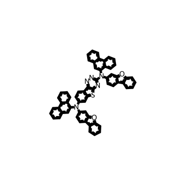 c1ccc2c(c1)cc(N(c1ccc3c(c1)oc1ccccc13)c1ccc3c(c1)sc1nc(N(c4ccc5c(c4)oc4ccccc45)c4cc5ccccc5c5ccccc45)nnc13)c1ccccc12